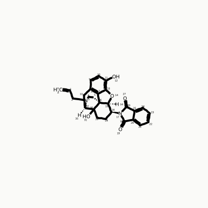 C=CCN1CC[C@]23c4c5ccc(O)c4O[C@H]2[C@@H](N2C(=O)c4ccccc4C2=O)CCC3(O)[C@H]1C5